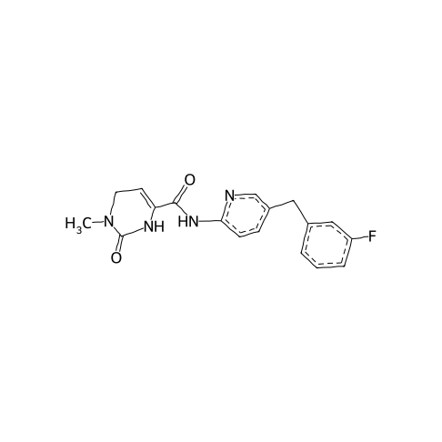 CN1CC=C(C(=O)Nc2ccc(Cc3cccc(F)c3)cn2)NC1=O